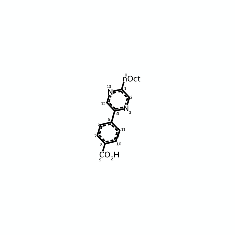 CCCCCCCCc1cnc(-c2ccc(C(=O)O)cc2)cn1